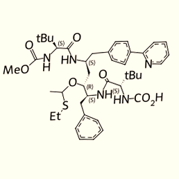 CCSC(C)O[C@H](C[C@H](Cc1ccc(-c2ccccn2)cc1)NC(=O)[C@@H](NC(=O)OC)C(C)(C)C)[C@H](Cc1ccccc1)NC(=O)[C@@H](NC(=O)O)C(C)(C)C